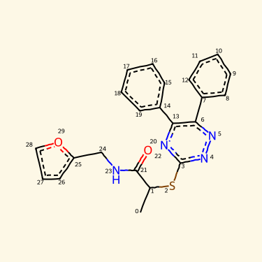 CC(Sc1nnc(-c2ccccc2)c(-c2ccccc2)n1)C(=O)NCc1ccco1